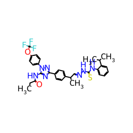 CCC(=O)Nc1nc(-c2ccc(C(C)/C=N/NC(=S)Nc3ccccc3C(C)C)cc2)nn1-c1ccc(OC(F)(F)F)cc1